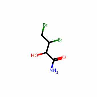 NC(=O)C(O)C(Br)CBr